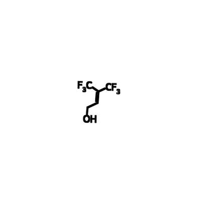 OCC=C(C(F)(F)F)C(F)(F)F